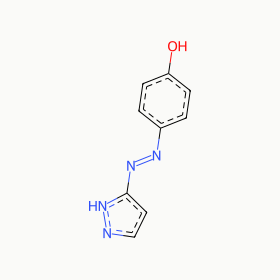 Oc1ccc(N=Nc2ccn[nH]2)cc1